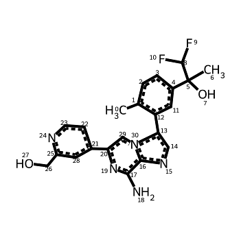 Cc1ccc(C(C)(O)C(F)F)cc1-c1cnc2c(N)nc(-c3ccnc(CO)c3)cn12